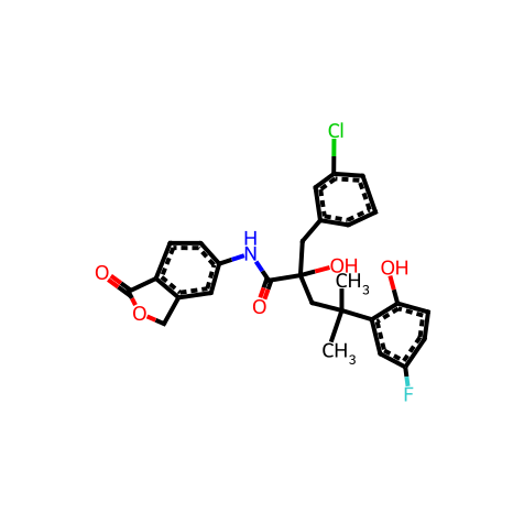 CC(C)(CC(O)(Cc1cccc(Cl)c1)C(=O)Nc1ccc2c(c1)COC2=O)c1cc(F)ccc1O